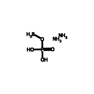 BOP(=O)(O)O.N.N